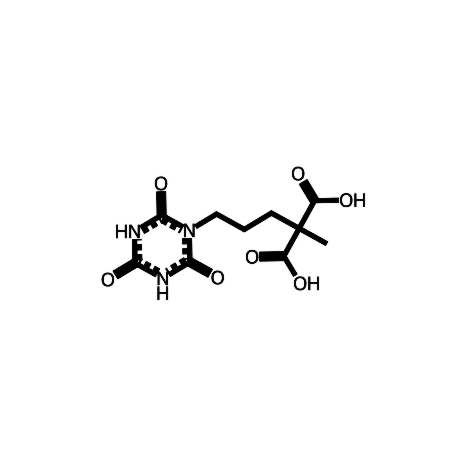 CC(CCCn1c(=O)[nH]c(=O)[nH]c1=O)(C(=O)O)C(=O)O